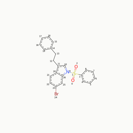 O=S(=O)(c1ccccc1)n1cc(CCc2ccccc2)c2ccc(Br)cc21